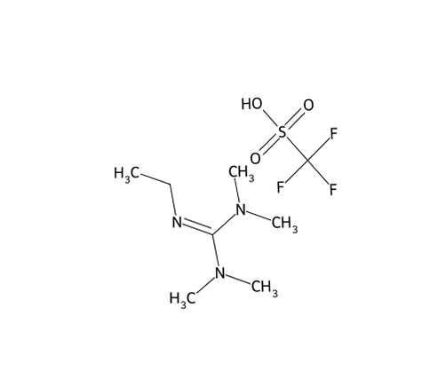 CCN=C(N(C)C)N(C)C.O=S(=O)(O)C(F)(F)F